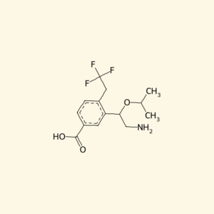 CC(C)OC(CN)c1cc(C(=O)O)ccc1CC(F)(F)F